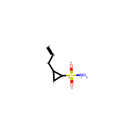 C=CCC1CC1S(N)(=O)=O